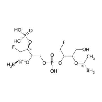 B[C@@H]1OC(COP(=O)(O)OC(CF)C(CO)O[C@@H](B)C)[C@H](OP(=O)(O)O)C1F